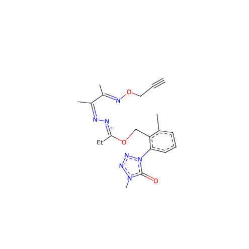 C#CCON=C(C)C(C)=N/N=C(\CC)OCc1c(C)cccc1-n1nnn(C)c1=O